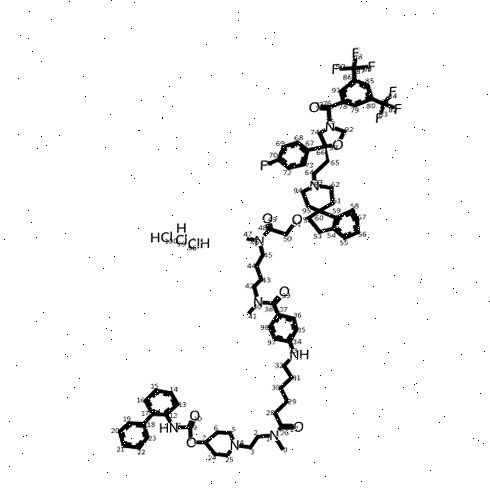 CN(CCN1CCC(OC(=O)Nc2ccccc2-c2ccccc2)CC1)C(=O)CCCCCNc1ccc(C(=O)N(C)CCCCN(C)C(=O)CO[C@H]2Cc3ccccc3C23CCN(CC[C@@]2(c4ccc(F)cc4)CN(C(=O)c4cc(C(F)(F)F)cc(C(F)(F)F)c4)CO2)CC3)cc1.Cl.Cl.Cl